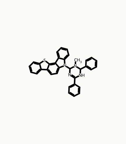 CN1C(c2ccccc2)NC(c2ccccc2)=NC1n1c2ccccc2c2c3sc4ccccc4c3ccc21